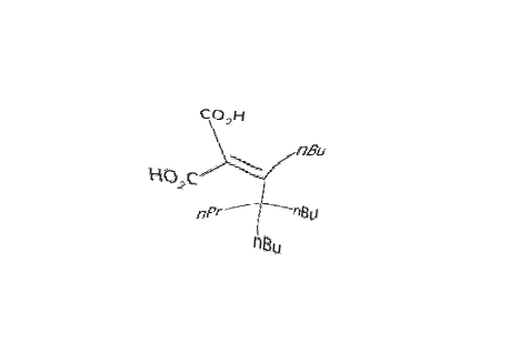 CCCCC(=C(C(=O)O)C(=O)O)C(CCC)(CCCC)CCCC